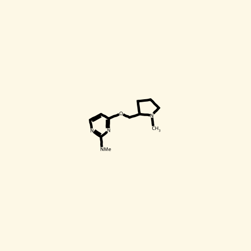 CNc1nccc(OCC2CCCN2C)n1